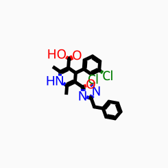 CC1=C(C(=O)O)C(c2cccc(Cl)c2Cl)C(c2nc(Cc3ccccc3)no2)=C(C)N1